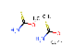 C.C.NC([O-])=S.NC([O-])=S.[Cu+2]